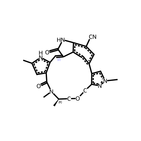 Cc1cc2c([nH]1)/C=C1\C(=O)Nc3c(C#N)cc(cc31)-c1cn(C)nc1COC[C@@H](C)N(C)C2=O